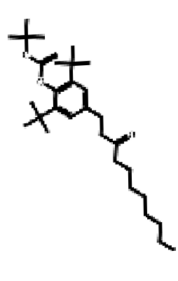 C=C(Oc1c(C(C)(C)C)cc(CCC(=O)CCCCCCCC)cc1C(C)(C)C)OC(C)(C)C